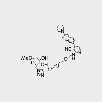 CO[C@@H]1C[C@@H](O)[C@H](O)[C@@H](Cn2cc(COCCOCCOCCNc3nccc(-c4ccc5cc(N6CCCCC6)ccc5c4)c3C#N)nn2)O1